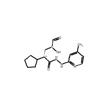 Cc1ccnc(NNC(=O)[C@@H](CN(O)C=O)C2CCCC2)c1